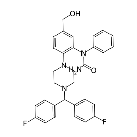 NC(=O)N(c1ccccc1)c1cc(CO)ccc1N1CCN(C(c2ccc(F)cc2)c2ccc(F)cc2)CC1